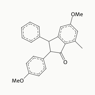 COc1ccc(C2C(=O)c3c(C)cc(OC)cc3C2c2ccccc2)cc1